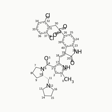 Cc1cc(C(=O)N2CCC[C@H]2CN2CCCC2)c(/C=C2\C(=O)Nc3ccc(S(=O)(=O)Cc4c(Cl)cccc4Cl)cc32)[nH]1